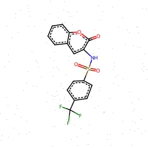 O=c1oc2[c]cccc2cc1NS(=O)(=O)c1ccc(C(F)(F)F)cc1